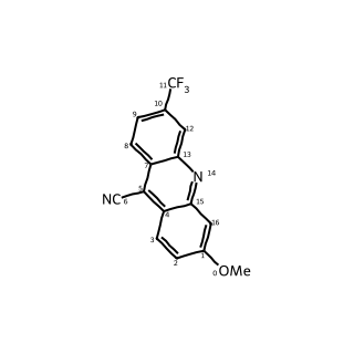 COc1ccc2c(C#N)c3ccc(C(F)(F)F)cc3nc2c1